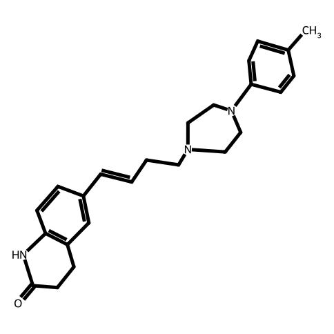 Cc1ccc(N2CCN(CCC=Cc3ccc4c(c3)CCC(=O)N4)CC2)cc1